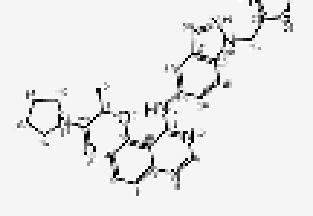 C[C@@H](Oc1cccc2ncnc(Nc3ccc4c(cnn4Cc4nccs4)c3)c12)C(=O)N1CCCC1